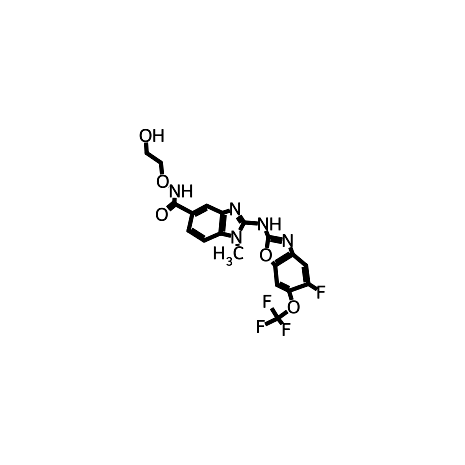 Cn1c(Nc2nc3cc(F)c(OC(F)(F)F)cc3o2)nc2cc(C(=O)NOCCO)ccc21